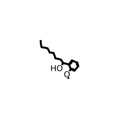 CCCCCCCC(O)c1ccccc1OC